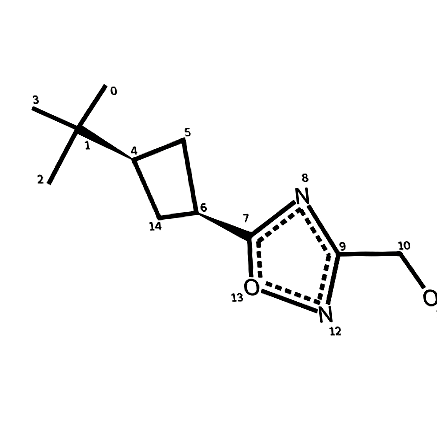 CC(C)(C)[C@H]1C[C@@H](c2nc(CO)no2)C1